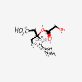 O=C(O)CC(CC(=O)O)(OC(=O)CO)C(=O)O.[NaH].[NaH]